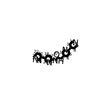 O=C(Cc1ccc(-c2ccncc2)nc1)Nc1ccc(-c2cccnn2)cn1